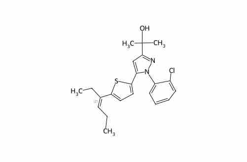 CC/C=C(/CC)c1ccc(-c2cc(C(C)(C)O)nn2-c2ccccc2Cl)s1